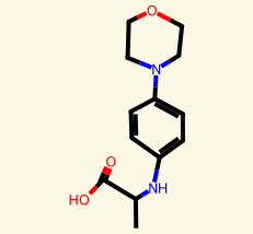 CC(Nc1ccc(N2CCOCC2)cc1)C(=O)O